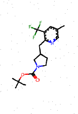 Cc1cnc(CC2CCN(C(=O)OC(C)(C)C)C2)c(C(F)(F)F)c1